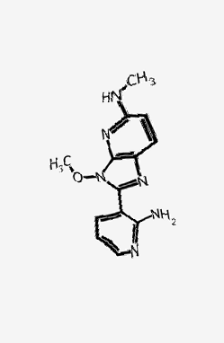 CNc1ccc2nc(-c3cccnc3N)n(OC)c2n1